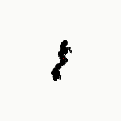 Nc1ncnc2c1c(-c1ccc(Oc3ccccc3)cc1)nn2C1CCCN(C2CCN(C(=O)N3CCN(CCN4CCC(c5ccc6c(c5)C(=O)N(C5CCC(=O)NC5=O)C6=O)CC4)CC3)CC2)C1